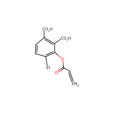 C=CC(=O)Oc1c(CC)ccc(C(=O)O)c1C(=O)O